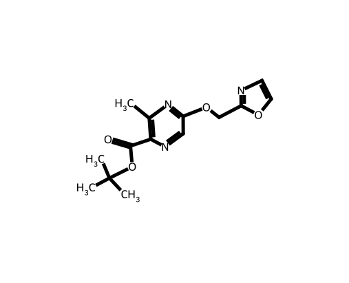 Cc1nc(OCc2ncco2)cnc1C(=O)OC(C)(C)C